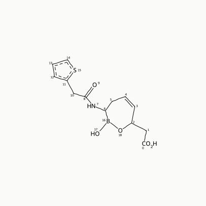 O=C(O)CC1C=CCC(NC(=O)Cc2cccs2)B(O)O1